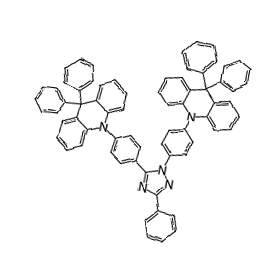 c1ccc(-c2nc(-c3ccc(N4c5ccccc5C(c5ccccc5)(c5ccccc5)c5ccccc54)cc3)n(-c3ccc(N4c5ccccc5C(c5ccccc5)(c5ccccc5)c5ccccc54)cc3)n2)cc1